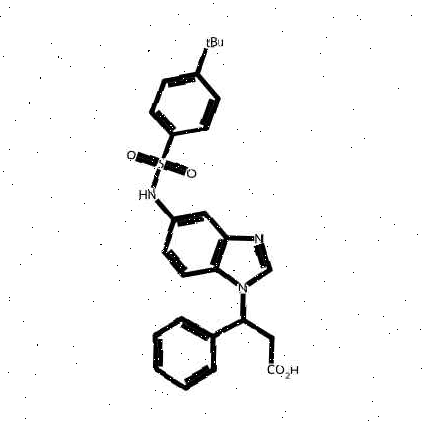 CC(C)(C)c1ccc(S(=O)(=O)Nc2ccc3c(c2)ncn3C(CC(=O)O)c2ccccc2)cc1